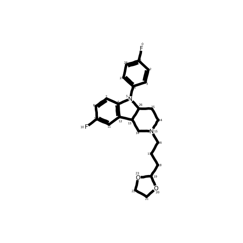 Fc1ccc(N2c3ccc(F)cc3C3CN(CCCC4OCCO4)CCC32)cc1